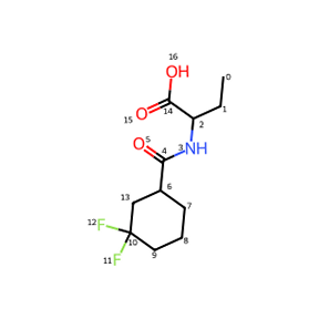 CCC(NC(=O)C1CCCC(F)(F)C1)C(=O)O